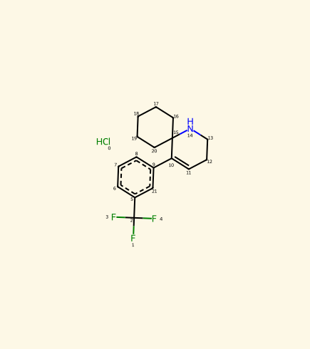 Cl.FC(F)(F)c1cccc(C2=CCCNC23CCCCC3)c1